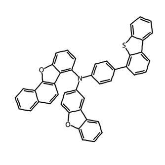 c1ccc2c(c1)ccc1c2oc2cccc(N(c3ccc(-c4cccc5c4sc4ccccc45)cc3)c3ccc4oc5ccccc5c4c3)c21